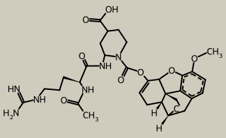 COc1ccc2c3c1OC1C(OC(=O)N4CCC(C(=O)O)CC4NC(=O)[C@H](CCCNC(=N)N)NC(C)=O)=CC[C@H]4[C@H](CCC[C@]314)C2